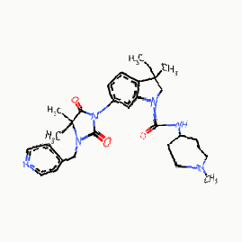 CN1CCC(NC(=O)N2CC(C)(C)c3ccc(N4C(=O)N(Cc5ccncc5)C(C)(C)C4=O)cc32)CC1